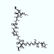 C=CC1CC1(C(=O)OCC)C(=O)OCCCOC(=O)NCC1CC(CCOC(=O)C2(C(=O)OCCCOC(=O)NCc3ccco3)CC2C=C)CO1